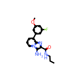 CCCNC(=O)c1nc2c(-c3cc(F)cc(OC)c3)cccn2c1N